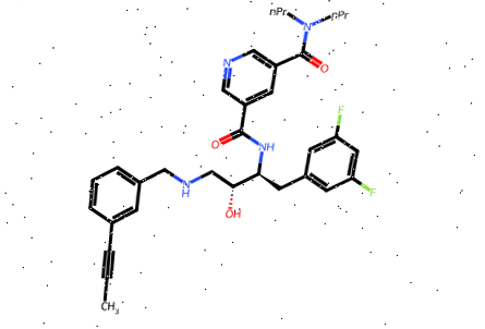 CC#Cc1cccc(CNC[C@@H](O)[C@H](Cc2cc(F)cc(F)c2)NC(=O)c2cncc(C(=O)N(CCC)CCC)c2)c1